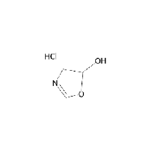 Cl.OC1CN=CO1